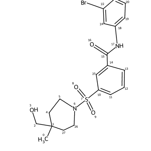 CC1(CO)CCN(S(=O)(=O)c2cccc(C(=O)Nc3cccc(Br)c3)c2)CC1